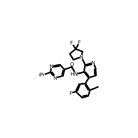 Cc1ccc(F)cc1-c1ccnc(N2CCC(F)(F)C2)c1NC(=O)c1cnc(C(C)C)nc1